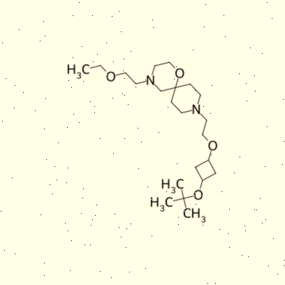 CCOCCN1CCOC2(CCN(CCOC3CC(OC(C)(C)C)C3)CC2)C1